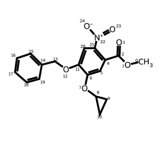 COC(=O)c1cc(OC2CC2)c(OCc2ccccc2)cc1[N+](=O)[O-]